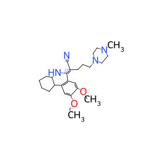 CCOc1cc2c(cc1OC)/C(=C(/C#N)CCCN1CCN(C)CC1)NC1CCCCC21